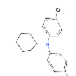 FC(F)(F)c1ccc(N(c2ccc(C(F)(F)F)cc2)C2C=CCCC2)cc1